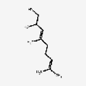 CC(C)=CCC/C(C)=C/C(O)CS